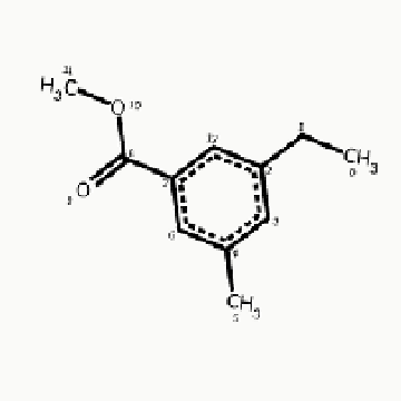 CCc1[c]c(C)cc(C(=O)OC)c1